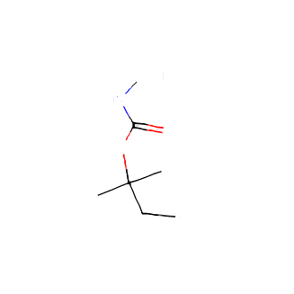 CC(C)(C)CC(C)(C)OC(=O)NC(=O)O